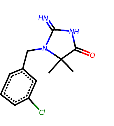 CC1(C)C(=O)NC(=N)N1Cc1cccc(Cl)c1